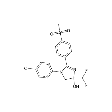 CS(=O)(=O)c1ccc(C2=NC(O)(C(F)F)CN2c2ccc(Cl)cc2)cc1